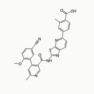 COc1ccc(C#N)cc1-c1cc(C)ncc1C(=O)Nc1nc2ccc(-c3ccc(C(=O)O)c(C)c3)nc2s1